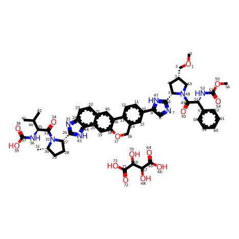 COC[C@H]1C[C@@H](c2ncc(-c3ccc4c(c3)COc3cc5c(ccc6nc([C@@H]7CC[C@H](C)N7C(=O)[C@@H](NC(=O)O)C(C)C)[nH]c65)cc3-4)[nH]2)N(C(=O)[C@H](NC(=O)OC)c2ccccc2)C1.O=C(O)C(O)C(O)C(=O)O